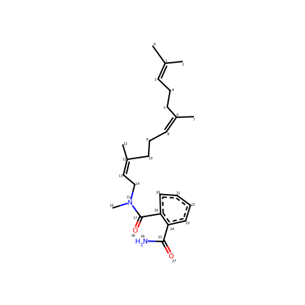 CC(C)=CCCC(C)=CCCC(C)=CCN(C)C(=O)c1ccccc1C(N)=O